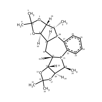 C[C@H]1[C@H]2OC(C)(C)O[C@@H]2[C@@H]2C[C@H]3[C@H]4OC(C)(C)O[C@@H]4[C@H](C)P3c3ccccc3P12